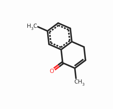 CC1=CCc2ccc(C)cc2C1=O